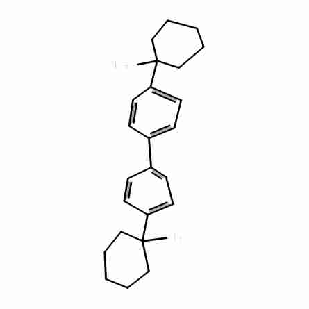 CCCCCC1(c2ccc(-c3ccc(C4(CCC)CCCCC4)cc3)cc2)CCCCC1